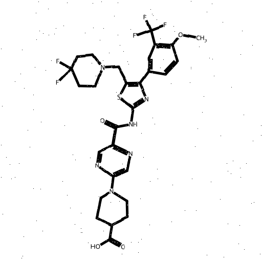 COc1ccc(-c2nc(NC(=O)c3cnc(N4CCC(C(=O)O)CC4)cn3)sc2CN2CCC(F)(F)CC2)cc1C(F)(F)F